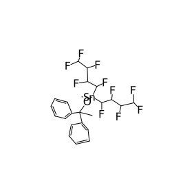 CC([O][Sn]([CH](F)C(F)C(F)C(F)F)[CH](F)C(F)C(F)C(F)F)(c1ccccc1)c1ccccc1